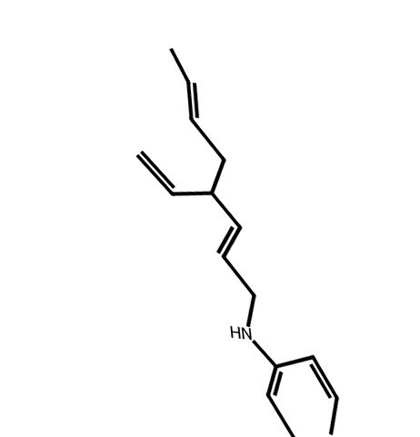 C=CC(/C=C/CNC(/C=C\C)=C/C)C/C=C/C